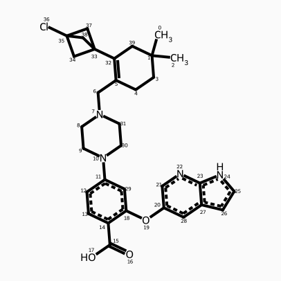 CC1(C)CCC(CN2CCN(c3ccc(C(=O)O)c(Oc4cnc5[nH]ccc5c4)c3)CC2)=C(C23CC(Cl)(C2)C3)C1